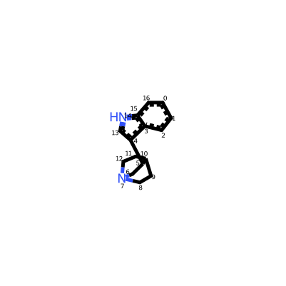 c1ccc2c(C3CN4CCC3CC4)c[nH]c2c1